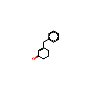 O=C1C=C(Cc2ccccc2)CCC1